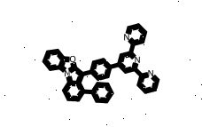 c1ccc(-c2cccc3c2c(-c2ccc(-c4cc(-c5ccccn5)nc(-c5ccccn5)c4)cc2)c2oc4ccccc4n23)cc1